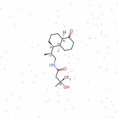 C[C@H](CNC(=O)C[C@@](C)(O)C(F)(F)F)[C@H]1CCC[C@H]2C(=O)CCC[C@@]12C